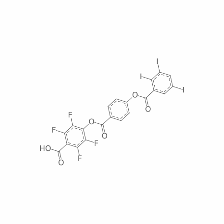 O=C(Oc1c(F)c(F)c(C(=O)O)c(F)c1F)c1ccc(OC(=O)c2cc(I)cc(I)c2I)cc1